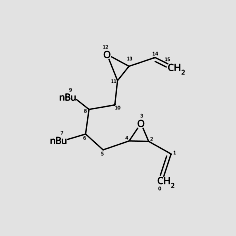 C=CC1OC1CC(CCCC)C(CCCC)CC1OC1C=C